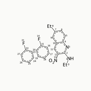 CCNc1nc2ccc(CC)cc2cc1[N+](=O)[O-].Fc1ccccc1.Fc1ccccc1